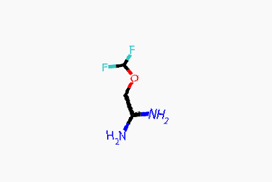 NC(N)COC(F)F